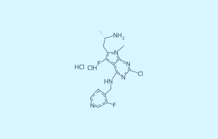 C[C@H](N)Cc1c(F)c2c(NCc3ccncc3F)nc(Cl)nc2n1C.Cl.Cl